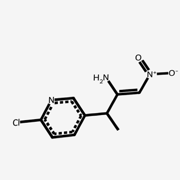 CC(/C(N)=C/[N+](=O)[O-])c1ccc(Cl)nc1